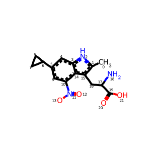 Cc1[nH]c2cc(C3CC3)cc([N+](=O)[O-])c2c1CC(N)C(=O)O